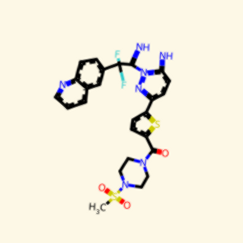 CS(=O)(=O)N1CCN(C(=O)c2ccc(-c3ccc(=N)n(C(=N)C(F)(F)c4ccc5ncccc5c4)n3)s2)CC1